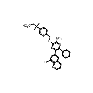 CC(C)(CC(=O)O)c1ccc(COc2nc(-c3cc(Cl)c4ncccc4c3)c(-c3ccccc3)nc2N)nc1